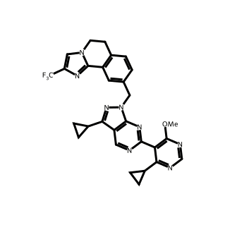 COc1ncnc(C2CC2)c1-c1ncc2c(C3CC3)nn(Cc3ccc4c(c3)-c3nc(C(F)(F)F)cn3CC4)c2n1